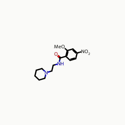 COc1cc([N+](=O)[O-])ccc1C(=O)NCCN1CCCCC1